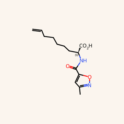 C=CCCCCC[C@H](NC(=O)c1cc(C)no1)C(=O)O